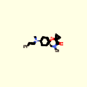 CCN1C[C@]2(CC[C@@H](N(C)CCC(C)C)CC2)OC2(CC2)C1=O